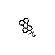 O=S(=O)(O)c1ccc2c3cccc4cccc(c5cccc1c52)c43